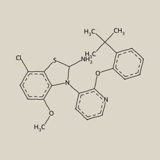 COc1ccc(Cl)c2c1N(c1cccnc1Oc1ccccc1C(C)(C)C)C(N)S2